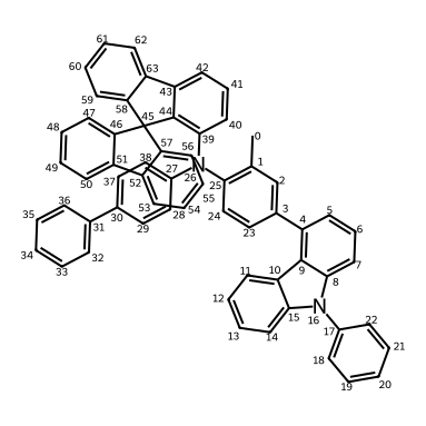 Cc1cc(-c2cccc3c2c2ccccc2n3-c2ccccc2)ccc1N(c1ccc(-c2ccccc2)cc1)c1cccc2c1C1(c3ccccc3-c3ccccc31)c1ccccc1-2